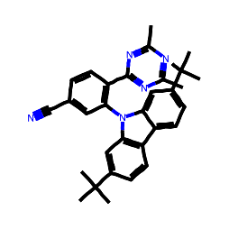 Cc1nc(C)nc(-c2ccc(C#N)cc2-n2c3cc(C(C)(C)C)ccc3c3ccc(C(C)(C)C)cc32)n1